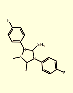 CC1N(c2ccc(F)cc2)C([SiH3])N(c2ccc(F)cc2)N1C